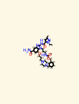 CCn1nc(C)cc1C(=O)Nc1nc2cc(C(N)=O)cc(OCCCN3CCN(C)CC3)c2n1CCCNC(=O)OCc1ccccc1